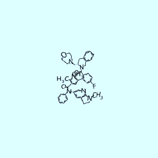 Cc1c(C(=O)N(c2ccccc2)c2cnc3c(c2)CCN3C)cc(-c2cc(F)ccc2C(=O)N2Cc3ccccc3C[C@H]2CN2CCOCC2)n1C